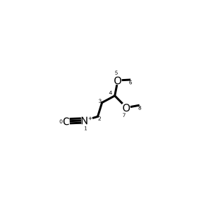 [C-]#[N+]CCC(OC)OC